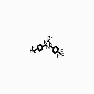 FC(F)(F)c1ccc(-c2nc(Br)nc(-c3ccc(C(F)(F)F)cc3)n2)cc1